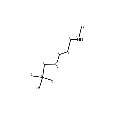 CNCCCOCC(C)(C)C